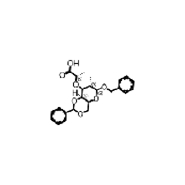 C[C@H](OC1[C@@H]2OC(c3ccccc3)OCC2O[C@H](OCc2ccccc2)[C@H]1C)C(=O)O